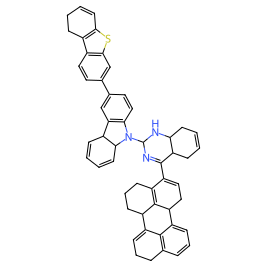 C1=CC2c3cc(-c4ccc5c6c(sc5c4)C=CCC6)ccc3N(C3N=C(C4=CCC5C6=C4CCCC6C4=CCCc6cccc5c64)C4CC=CCC4N3)C2C=C1